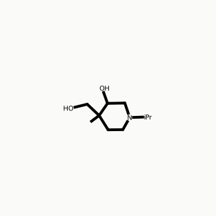 CC(C)N1CCC(C)(CO)C(O)C1